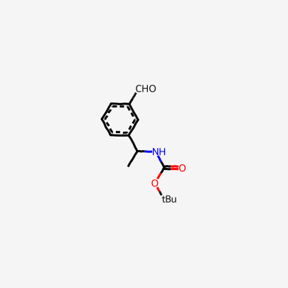 CC(NC(=O)OC(C)(C)C)c1cccc(C=O)c1